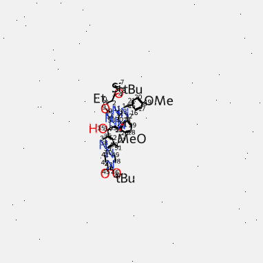 CCC(CCO[Si](C)(C)C(C)(C)C)Oc1nc(N(Cc2ccc(OC)cc2)Cc2ccc(OC)cc2)c2ncc(C(O)c3cnc(N4CCN(C(=O)OC(C)(C)C)CC4)c(C)c3)n2n1